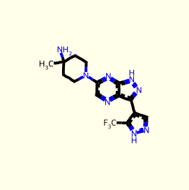 CC1(N)CCN(c2cnc3c(-c4cn[nH]c4C(F)(F)F)n[nH]c3n2)CC1